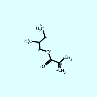 C=C(C)C(=O)OC[C](C)CC